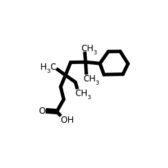 CCC(C)(CCC(=O)O)CC(C)(C)C1CCCCC1